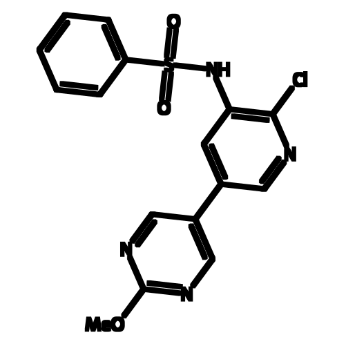 COc1ncc(-c2cnc(Cl)c(NS(=O)(=O)c3ccccc3)c2)cn1